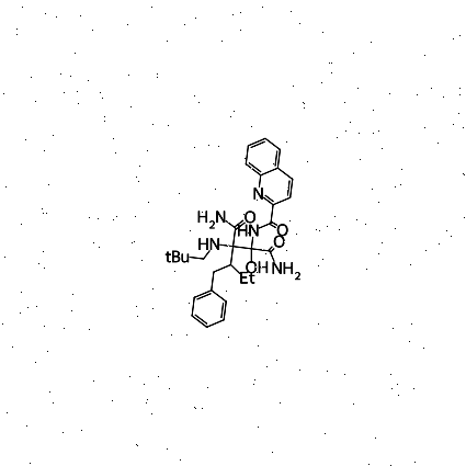 CCC(Cc1ccccc1)C(NCC(C)(C)C)(C(N)=O)C(O)(NC(=O)c1ccc2ccccc2n1)C(N)=O